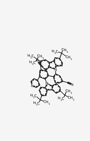 CC(C)(C)c1ccc2c(c1)c1cc(C(C)(C)C)ccc1n2-c1cc(C#N)ccc1-c1cc(C#N)cc(-c2ccncc2)c1-n1c2ccc(C(C)(C)C)cc2c2cc(C(C)(C)C)ccc21